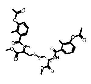 COC(=O)C(CSSC[C@H](NC(=O)c1cccc(OC(C)=O)c1C)C(=O)OC)NC(=O)c1cccc(OC(C)=O)c1C